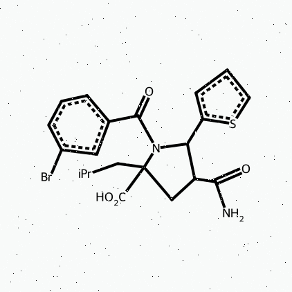 CC(C)CC1(C(=O)O)CC(C(N)=O)C(c2cccs2)N1C(=O)c1cccc(Br)c1